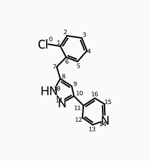 Clc1ccccc1Cc1cc(-c2ccncc2)n[nH]1